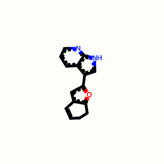 C1=Cc2cc(-c3c[nH]c4ncccc34)oc2CC1